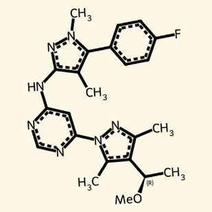 CO[C@H](C)c1c(C)nn(-c2cc(Nc3nn(C)c(-c4ccc(F)cc4)c3C)ncn2)c1C